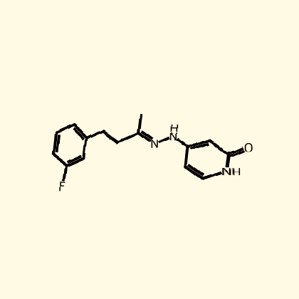 C/C(CCc1cccc(F)c1)=N\Nc1cc[nH]c(=O)c1